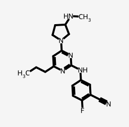 CCCc1cc(N2CCC(NC)C2)nc(Nc2ccc(F)c(C#N)c2)n1